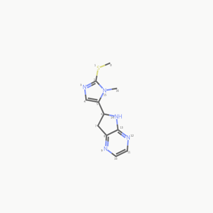 CSc1ncc(C2Cc3nccnc3N2)n1C